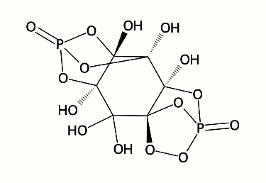 O=P12OO[C@@]3(O1)C(O)(O)[C@@]1(O)OP4(=O)O[C@](O)([C@@]3(O)O2)[C@@]1(O)O4